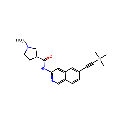 C[Si](C)(C)C#Cc1ccc2cnc(NC(=O)C3CCN(C(=O)O)C3)cc2c1